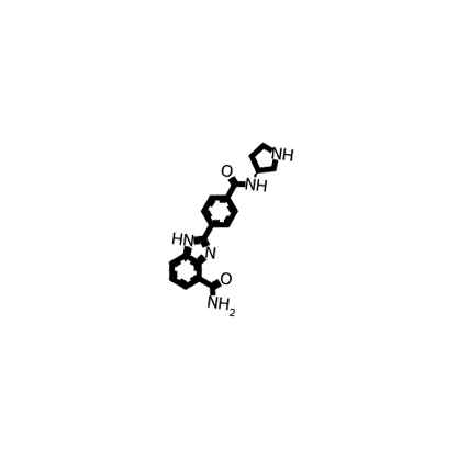 NC(=O)c1cccc2[nH]c(-c3ccc(C(=O)N[C@@H]4CCNC4)cc3)nc12